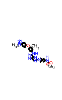 Cc1cc(Nc2ncnc3cnc(N4CC5(CC(NC(=O)OC(C)(C)C)C5)C4)nc23)ccc1Oc1ccc2c(c1)nnn2C